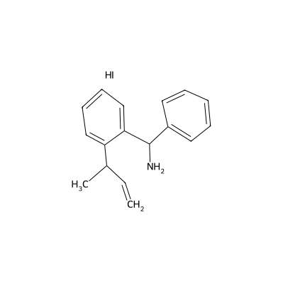 C=CC(C)c1ccccc1C(N)c1ccccc1.I